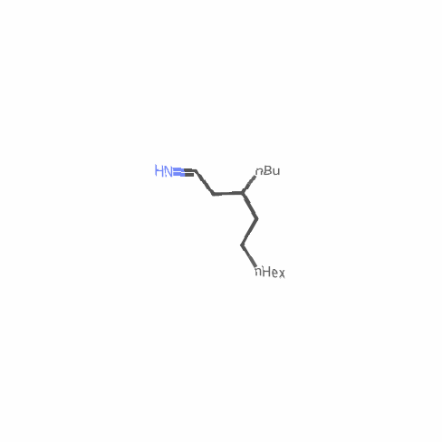 CCCCCCCCC(CC=N)CCCC